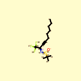 CCCCCCC#C/C(=N\[S+]([O-])C(C)(C)C)C(F)(F)F